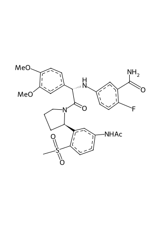 COc1ccc([C@H](Nc2ccc(F)c(C(N)=O)c2)C(=O)N2CCC[C@@H]2c2cc(NC(C)=O)ccc2S(C)(=O)=O)cc1OC